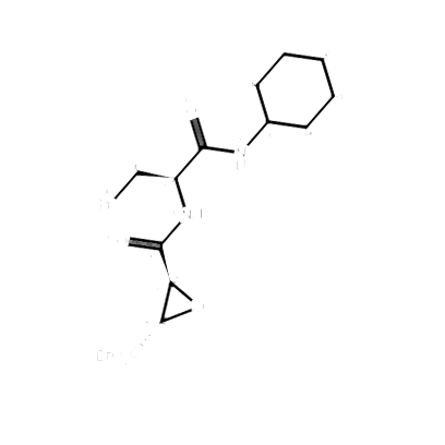 CCOC(=O)[C@H]1O[C@@H]1C(=O)N[C@@H](CC(C)C)C(=O)NC1CCCCC1